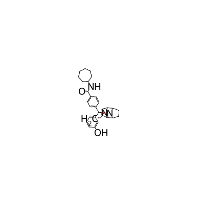 C=CCN1C2CCC1C1CCC2N1C(c1ccc(C(=O)NC2CCCCCC2)cc1)c1cccc(O)c1